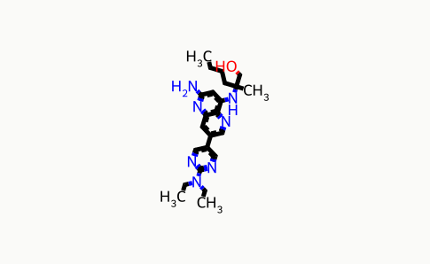 CCCCC(C)(CO)Nc1cc(N)nc2cc(-c3cnc(N(CC)CC)nc3)cnc12